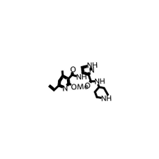 C=Cc1cc(C)c(C(=O)Nc2c[nH]nc2C(=O)NC2CCNCC2)c(OC)n1